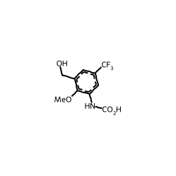 COc1c(CO)cc(C(F)(F)F)cc1NC(=O)O